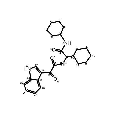 O=C(NC(C(=O)NC1CCCCC1)C1CCCCC1)C(=O)c1c[nH]c2ccccc12